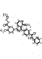 CCOCCC(=O)N1C[C@@H](c2nc(-c3ccc(C(=O)Nc4ccccn4)cc3)c3c(N)nccn23)CC[C@H]1C